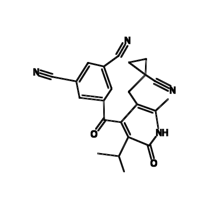 Cc1[nH]c(=O)c(C(C)C)c(C(=O)c2cc(C#N)cc(C#N)c2)c1CC1(C#N)CC1